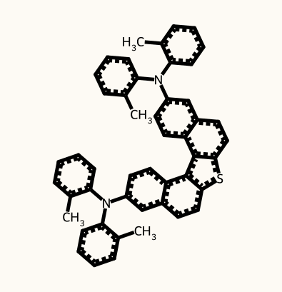 Cc1ccccc1N(c1ccc2c(ccc3sc4ccc5cc(N(c6ccccc6C)c6ccccc6C)ccc5c4c32)c1)c1ccccc1C